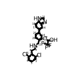 Clc1cccc(Cl)c1CCNCc1ccc(-c2ccc3[nH]cnc3c2)cc1.O=C(O)C(F)(F)F